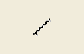 C[CH]CCCCCCCC(C)C